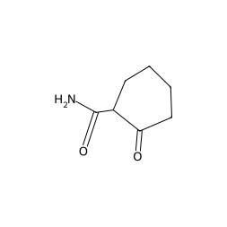 NC(=O)C1CCCCC1=O